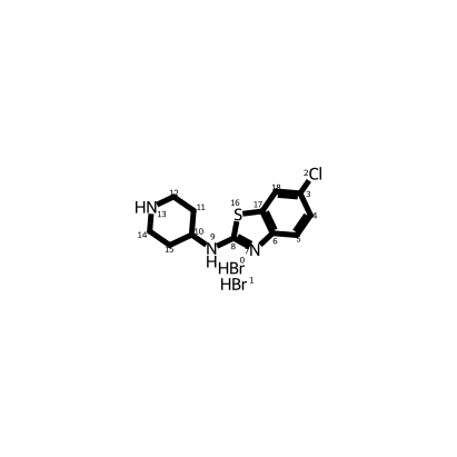 Br.Br.Clc1ccc2nc(NC3CCNCC3)sc2c1